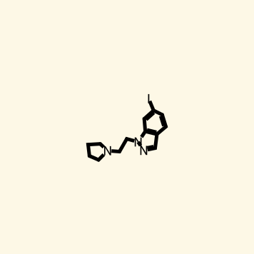 Ic1ccc2cnn(CCN3CCCC3)c2c1